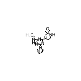 CCNc1nc(N2CCNC3(COC3)C2)nc(-n2cccn2)n1